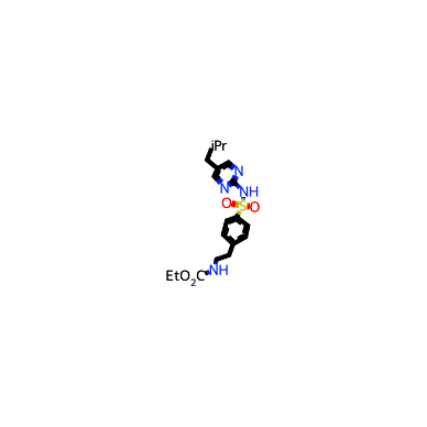 CCOC(=O)NCCc1ccc(S(=O)(=O)Nc2ncc(CC(C)C)cn2)cc1